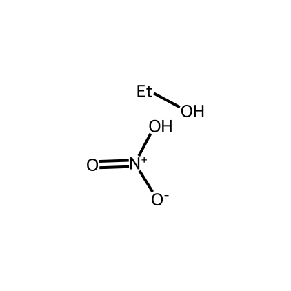 CCO.O=[N+]([O-])O